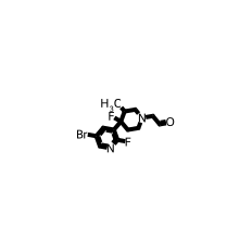 CC1CN(CC=O)CCC1(F)c1cc(Br)cnc1F